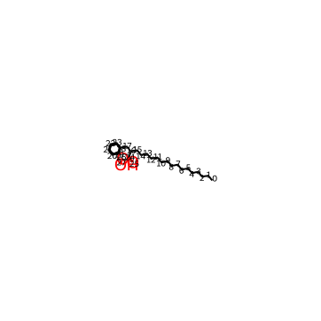 CCCCCCCCCCCCCCCCC(Cc1ccccc1)C(=O)OO